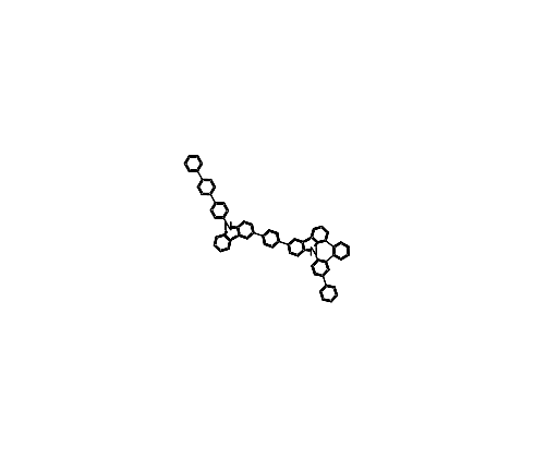 c1ccc(-c2ccc(-c3ccc(-n4c5ccccc5c5cc(-c6ccc(-c7ccc8c(c7)c7cccc9c7n8-c7ccc(-c8ccccc8)cc7-c7ccccc7-9)cc6)ccc54)cc3)cc2)cc1